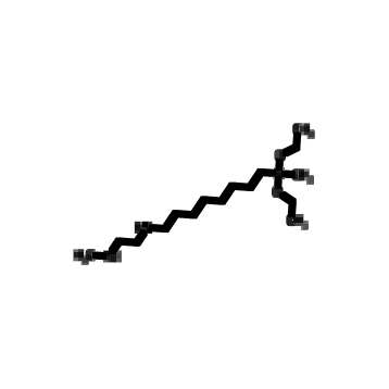 CCO[Si](C)(CCCCCCCCNCCNC)OCC